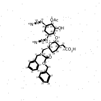 CC(=O)O[C@@H]1[C@@H](O)[C@H](O[C@H]2O[C@H](CN(Cc3ccccc3)C(=O)OCc3ccccc3)CC[C@@H]2CC(=O)O)[C@@H](N=[N+]=[N-])C[C@H]1N=[N+]=[N-]